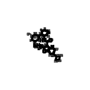 C[C@H]1C[C@@H](N)CN(c2ccncc2NC(=O)c2c(N)oc3cc(C4CCC4)cnc23)C1